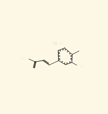 Cc1cc(/C=C/C(=O)O)ccc1O.[NaH]